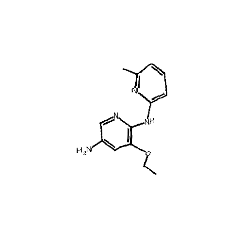 CCOc1cc(N)cnc1Nc1cccc(C)n1